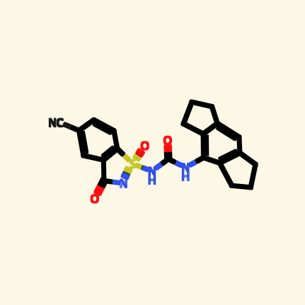 N#Cc1ccc2c(c1)C(=O)N=S2(=O)NC(=O)Nc1c2c(cc3c1CCC3)CCC2